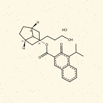 CC(C)n1c(=O)c(C(=O)O[C@H]2C[C@H]3CC[C@@H](C2)N3CCCCO)cc2ccccc21.Cl